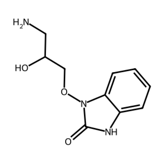 NCC(O)COn1c(=O)[nH]c2ccccc21